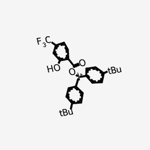 CC(C)(C)c1ccc([I+](OC(=O)c2ccc(C(F)(F)F)cc2O)c2ccc(C(C)(C)C)cc2)cc1